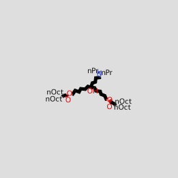 CCCCCCCCC(CCCCCCCC)C(=O)OCCCCCCC(O)(CCCCCCOC(=O)C(CCCCCCCC)CCCCCCCC)CCCCN(CCC)CCC